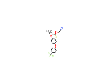 CC(Oc1ccc(Oc2ccc(C(F)(F)F)cc2)cc1)C(=S)OCC#N